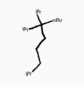 CCCCC(CCCC(C)C)(C(C)C)C(C)C